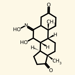 C[C@]12CCC(=O)CC1/C(=N/O)C(O)[C@@H]1[C@H]2CC[C@]2(C)C(=O)CC[C@@H]12